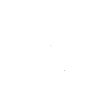 C=C(C)/C=N\C(C#N)=C/C